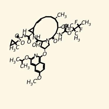 COc1ccc2c(O[C@@H]3C[C@H]4C(=O)N[C@]5(C(=O)NS(=O)(=O)C6(C)CC6)CC5/C=C\CC[C@@H](C)C[C@@H](C)[C@H](NC(=O)OC(C)(C)C(C)(F)F)C(=O)N4C3)nc(OC(C)C)cc2c1